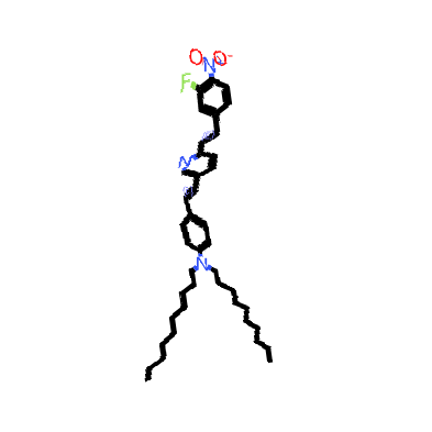 CCCCCCCCCCN(CCCCCCCCCC)c1ccc(/C=C/c2ccc(/C=C/c3ccc([N+](=O)[O-])c(F)c3)nc2)cc1